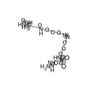 N=C(N)Nc1ccc(C(NC(=O)OCCOCCOCc2cn(CCOCCOCCOCCNC(=O)CCCC[C@H]3SC[C@H]4NC(=O)N[C@H]43)nn2)P(=O)(Oc2ccccc2)Oc2ccccc2)cc1